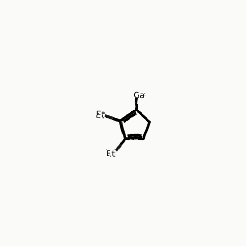 CCC1=CC[C]([Ga])=C1CC